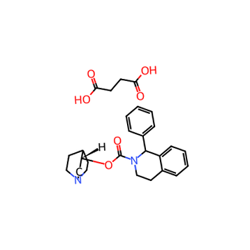 O=C(O)CCC(=O)O.O=C(O[C@@H]1CN2CCC1CC2)N1CCc2ccccc2C1c1ccccc1